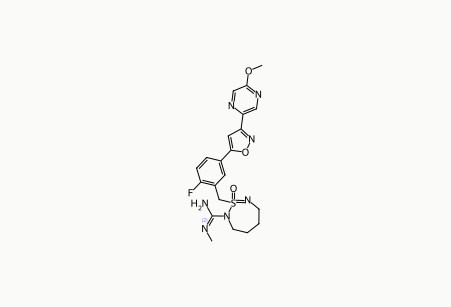 C/N=C(/N)N1CCCCN=S1(=O)Cc1cc(-c2cc(-c3cnc(OC)cn3)no2)ccc1F